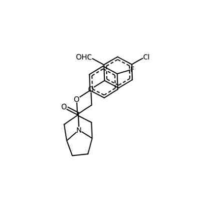 O=Cc1cc(Cl)ccc1OCC(=O)N1C2CCC1CC(Oc1ccc(F)cc1)C2